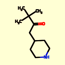 CC(C)(C)C(=O)CC1CCNCC1